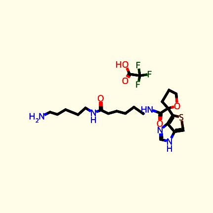 NCCCCCNC(=O)CCCCCNC(=O)C1(c2scc3[nH]cnc23)CCCO1.O=C(O)C(F)(F)F